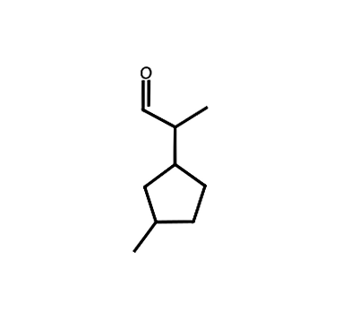 CC1CCC(C(C)C=O)C1